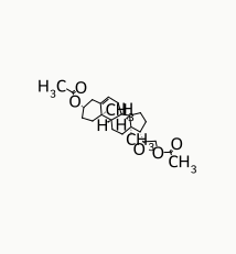 CC(=O)OCC(=O)[C@H]1CC[C@H]2[C@@H]3CC=C4C[C@@H](OC(C)=O)CC[C@]4(C)[C@H]3CC[C@]12C